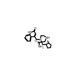 CC1CCCC1CC1(C(N)=O)CNCCN1C(=O)c1cc(=O)[nH]c2ccccc12